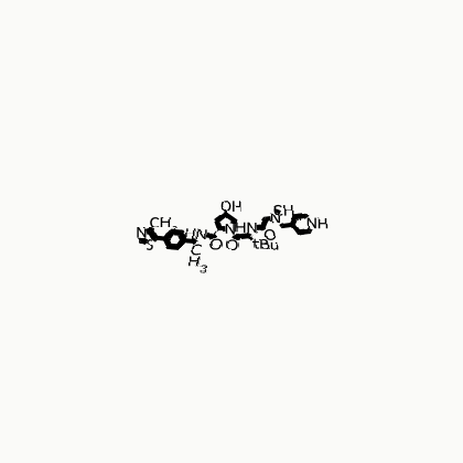 Cc1ncsc1-c1ccc([C@H](C)NC(=O)[C@@H]2C[C@@H](O)CN2C(=O)[C@@H](NC(=O)CN(C)CC2CCNCC2)C(C)(C)C)cc1